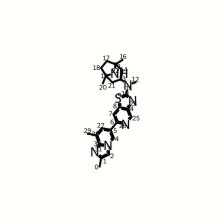 Cc1cn2cc(-c3cc4sc(N(C)C5CC6(C)CCC(C)(C5)N6)nc4cn3)cc(C)c2n1